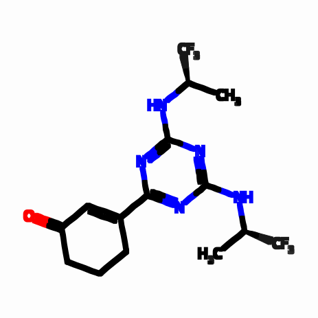 C[C@@H](Nc1nc(N[C@H](C)C(F)(F)F)nc(C2=CC(=O)CCC2)n1)C(F)(F)F